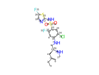 C=C(CC)C[C@@H](CNc1cc(F)c(S(=O)(=O)Nc2ncc(F)s2)cc1Cl)NC